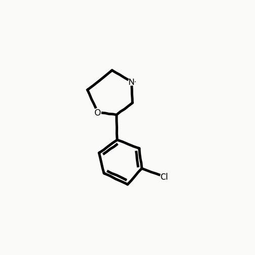 Clc1cccc(C2C[N]CCO2)c1